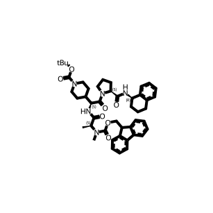 C[C@@H](C(=O)N[C@H](C(=O)N1CCC[C@H]1C(=O)N[C@@H]1CCCc2ccccc21)C1CCN(C(=O)OC(C)(C)C)CC1)N(C)C(=O)OCC1c2ccccc2-c2ccccc21